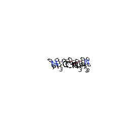 CC1(C)c2cc(-c3c4ccccc4c(N(C4=CCCC=C4)c4ccccc4)c4ccccc34)ccc2-c2ccc3c4c(ccc1c24)C(C)(C)c1cc(-c2c4ccccc4c(N(c4ccccc4)c4ccccc4)c4ccccc24)ccc1-3